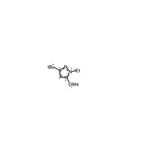 CCn1nc(C(C)(C)C)cc1OC